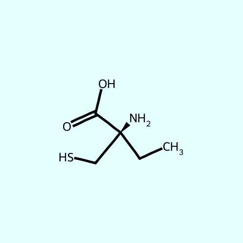 CC[C@](N)(CS)C(=O)O